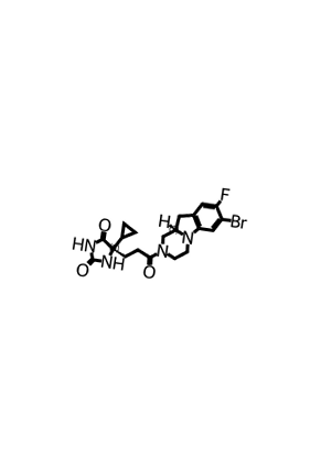 O=C1NC(=O)[C@](CCC(=O)N2CCN3c4cc(Br)c(F)cc4C[C@H]3C2)(C2CC2)N1